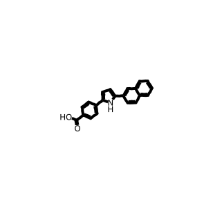 O=C(O)c1ccc(-c2ccc(-c3ccc4ccccc4c3)[nH]2)cc1